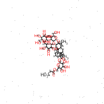 C=C1C[C@@]23CC[C@H]4[C@@](C)(CCC[C@@]4(C)C(=O)O[C@@H]4OC(COC(=O)CC(=O)O)[C@@H](O)C(O)C4O)[C@@H]2CC[C@]1(OC1O[C@H](CO)C(O)C(OC2O[C@H](CO)C(O)C(O)[C@H]2O)[C@H]1O[C@@H]1OC(CO)[C@@H](O)C(O)C1O)C3